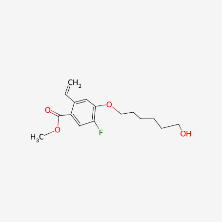 C=Cc1cc(OCCCCCCO)c(F)cc1C(=O)OC